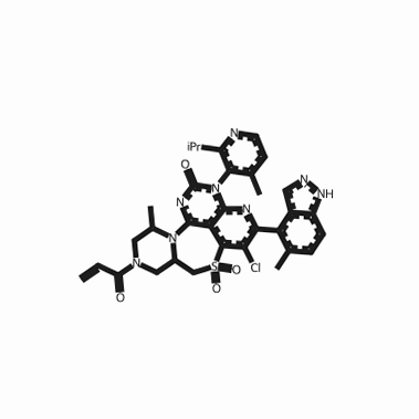 C=CC(=O)N1CC(C)N2c3nc(=O)n(-c4c(C)ccnc4C(C)C)c4nc(-c5c(C)ccc6[nH]ncc56)c(Cl)c(c34)S(=O)(=O)CC2C1